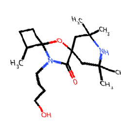 CC1CCC12OC1(CC(C)(C)NC(C)(C)C1)C(=O)N2CCCO